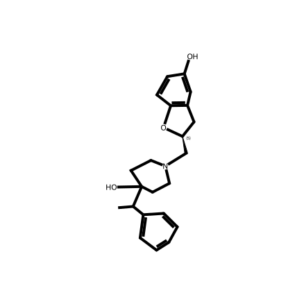 CC(c1ccccc1)C1(O)CCN(C[C@@H]2Cc3cc(O)ccc3O2)CC1